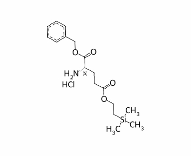 C[Si](C)(C)CCOC(=O)CC[C@H](N)C(=O)OCc1ccccc1.Cl